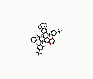 Cc1cc2c3c(c1)N(c1c(C)cc(C(C)(C)C)cc1C)c1c(sc4ccccc14)B3c1cc3c(cc1N2c1ccc(C(C)(C)C)cc1-c1ccccc1)OCCO3